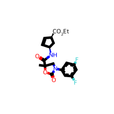 CCOC(=O)[C@@H]1C=C[C@H](NC(=O)C2(C)CN(c3cc(F)cc(F)c3)C(=O)O2)C1